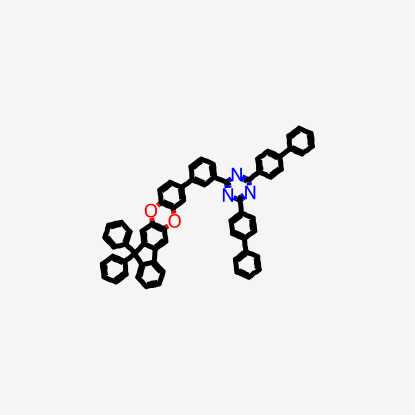 c1ccc(-c2ccc(-c3nc(-c4ccc(-c5ccccc5)cc4)nc(-c4cccc(-c5ccc6c(c5)Oc5cc7c(cc5O6)C(c5ccccc5)(c5ccccc5)c5ccccc5-7)c4)n3)cc2)cc1